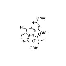 COCc1cccc([C@H](O)c2nc(OC)cc(OC)n2)c1NS(=O)(=O)C(F)F